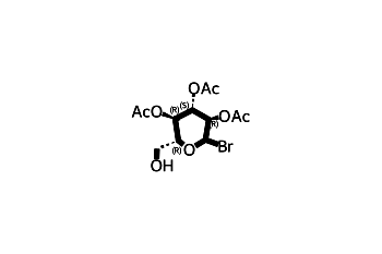 CC(=O)O[C@H]1[C@H](OC(C)=O)[C@@H](OC(C)=O)C(Br)O[C@@H]1CO